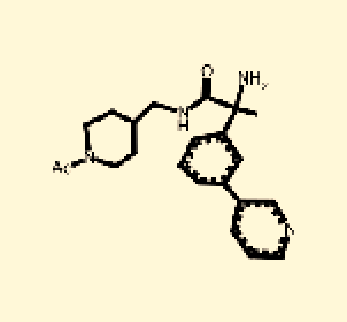 CC(=O)N1CCC(CNC(=O)C(C)(N)c2cccc(-c3cccnc3)c2)CC1